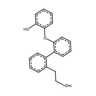 CCCCCCCCCCCCc1ccccc1-c1ccccc1Oc1ccccc1O